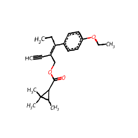 C#CC(COC(=O)C1C(C)C1(C)C)=C(CC)c1ccc(OCC)cc1